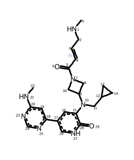 CNC/C=C/C(=O)N1CC(N(CC2CC2)c2cc(-c3cc(NC)ncn3)c[nH]c2=O)C1